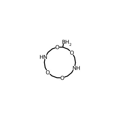 BC1COCCNCCOCCOCCNCCO1